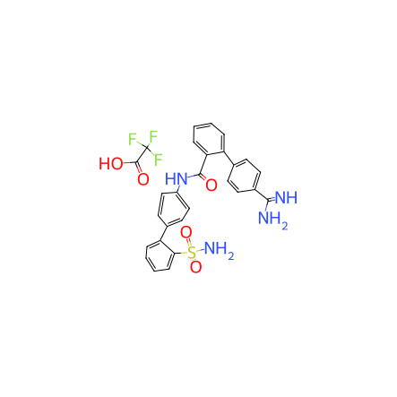 N=C(N)c1ccc(-c2ccccc2C(=O)Nc2ccc(-c3ccccc3S(N)(=O)=O)cc2)cc1.O=C(O)C(F)(F)F